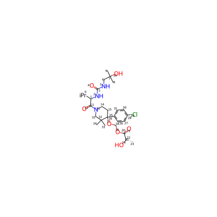 CC(C)C(NC(=O)NCC(C)(C)O)C(=O)N1CCC(OCOC(=O)[C@H](C)O)(c2ccc(Cl)cc2)C(C)(C)C1